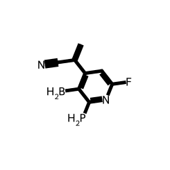 Bc1c(C(=C)C#N)cc(F)nc1P